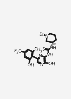 CCN1CCC[C@@H](NC(=S)Nc2nc(-c3c(C)cc(C(F)(F)F)cc3O)cnc2O)C1